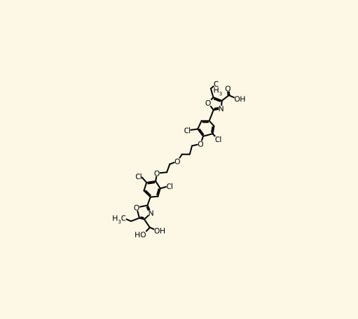 CCc1oc(-c2cc(Cl)c(OCCCOCCOc3c(Cl)cc(-c4nc(C(O)O)c(CC)o4)cc3Cl)c(Cl)c2)nc1C(=O)O